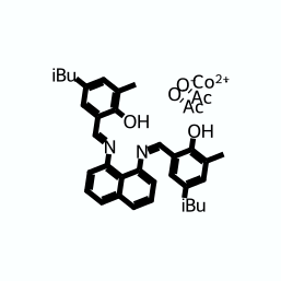 CC(=O)[O-].CC(=O)[O-].CCC(C)c1cc(C)c(O)c(C=Nc2cccc3cccc(N=Cc4cc(C(C)CC)cc(C)c4O)c23)c1.[Co+2]